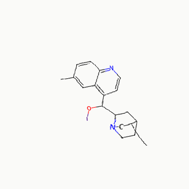 Cc1ccc2nccc(C(OI)C3CC4CCN3CC4C)c2c1